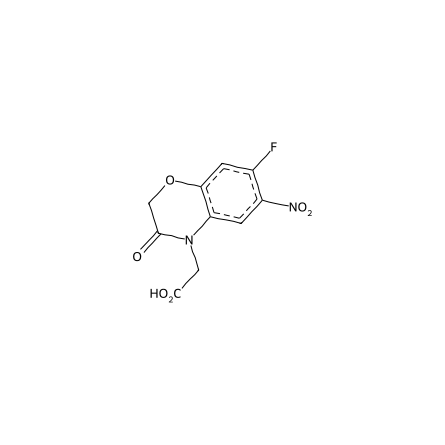 O=C(O)CN1C(=O)COc2cc(F)c([N+](=O)[O-])cc21